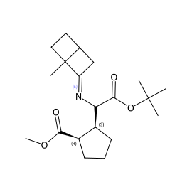 COC(=O)[C@@H]1CCC[C@@H]1C(/N=C1\CC2CCC12C)C(=O)OC(C)(C)C